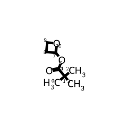 CC(C)(C)C(=O)OC1CCO1